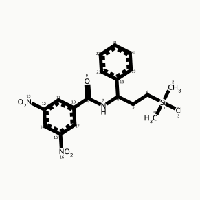 C[Si](C)(Cl)CCC(NC(=O)c1cc([N+](=O)[O-])cc([N+](=O)[O-])c1)c1ccccc1